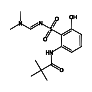 CN(C)/C=N/S(=O)(=O)c1c(O)cccc1NC(=O)C(C)(C)C